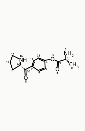 C[C@H](N)C(=O)Oc1ccc(C(=O)[C@@H]2CCCN2)cc1